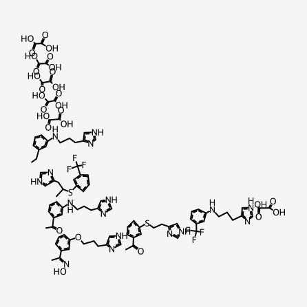 CC(=NO)c1cccc(OCCCc2c[nH]cn2)c1.CC(=O)c1cccc(NCCCc2c[nH]cn2)c1.CC(=O)c1cccc(SCCc2c[nH]cn2)c1.CC(Cc1c[nH]cn1)Sc1cccc(C(F)(F)F)c1.CCc1cccc(NCCCc2c[nH]cn2)c1.FC(F)(F)c1cccc(NCCCc2c[nH]cn2)c1.O=C(O)C(=O)O.O=C(O)C(=O)O.O=C(O)C(=O)O.O=C(O)C(=O)O.O=C(O)C(=O)O.O=C(O)C(=O)O